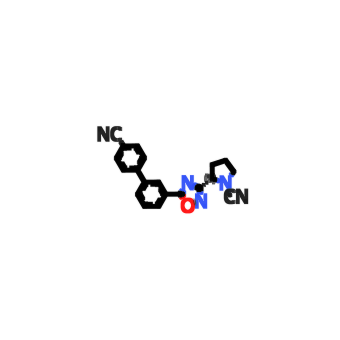 N#Cc1ccc(-c2cccc(-c3nc([C@@H]4CCCN4C#N)no3)c2)cc1